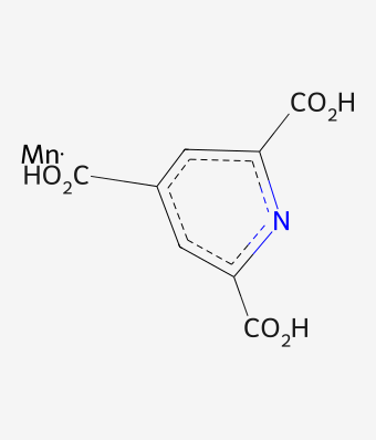 O=C(O)c1cc(C(=O)O)nc(C(=O)O)c1.[Mn]